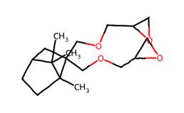 CC1(C)C2CCC1(C)C(COCC1CO1)(COCC1CO1)C2